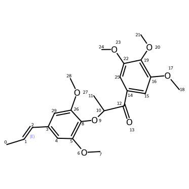 C/C=C/c1cc(OC)c(OC(C)C(=O)c2cc(OC)c(OC)c(OC)c2)c(OC)c1